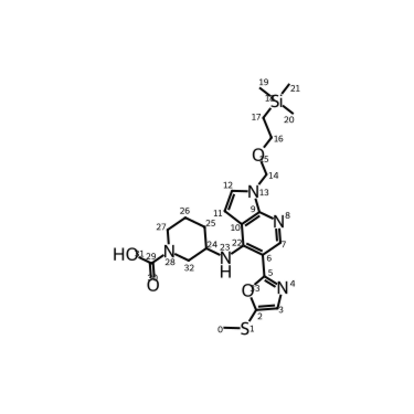 CSc1cnc(-c2cnc3c(ccn3COCC[Si](C)(C)C)c2NC2CCCN(C(=O)O)C2)o1